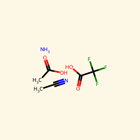 CC#N.CC(=O)O.N.O=C(O)C(F)(F)F